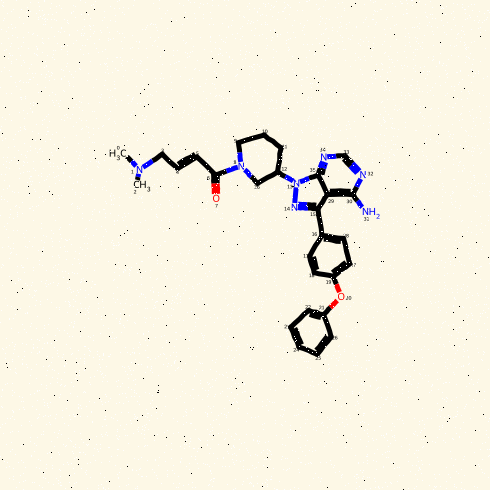 CN(C)CC=CC(=O)N1CCCC(n2nc(-c3ccc(Oc4ccccc4)cc3)c3c(N)ncnc32)C1